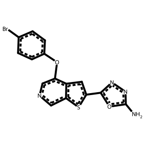 Nc1nnc(-c2cc3c(Oc4ccc(Br)cc4)cncc3s2)o1